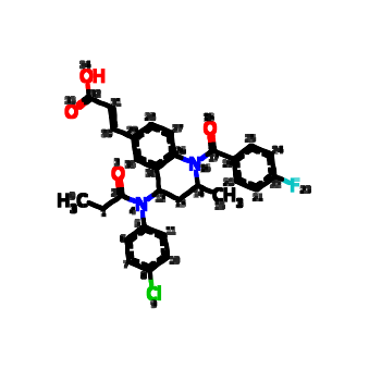 CCC(=O)N(c1ccc(Cl)cc1)C1CC(C)N(C(=O)c2ccc(F)cc2)c2ccc(/C=C/C(=O)O)cc21